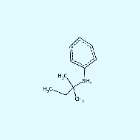 CCC(C)(C)[SiH2]c1ccccc1